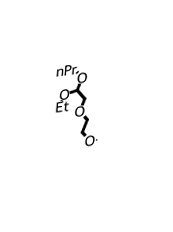 CCCOC(COCC[O])OCC